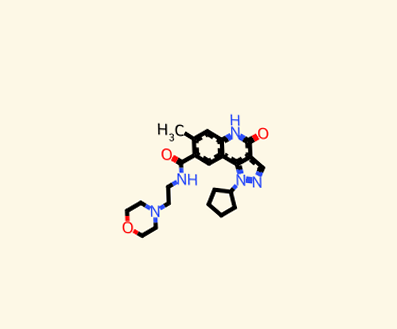 Cc1cc2[nH]c(=O)c3cnn(C4CCCC4)c3c2cc1C(=O)NCCN1CCOCC1